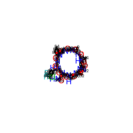 CC[C@H](C)[C@@H]1NC(=O)[C@H](CC(C)C)N(C)C(=O)C[C@@H](C(=O)N(C)C)N(C)C(=O)[C@H]([C@@H](C)CC)N(C)C(=O)C2(CCCC2)NC(=O)[C@H](CCC(=O)NC)N(C)C(=O)[C@H](CCc2ccc(C(F)(F)F)c(Cl)c2)NC(=O)CN(C)C(=O)[C@H](Cc2ccc(C)cc2)N(C)C(=O)[C@@H]2CCN2C(=O)[C@H](C)N(C)C1=O